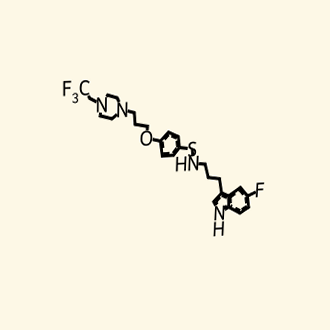 Fc1ccc2[nH]cc(CCCNSc3ccc(OCCCN4CCN(CC(F)(F)F)CC4)cc3)c2c1